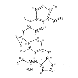 CCOc1cc(C(C)N2CC3(CC3)c3c(CN(C)CC#N)cc(Cn4ccnc4NC)cc3C2=O)ncc1F